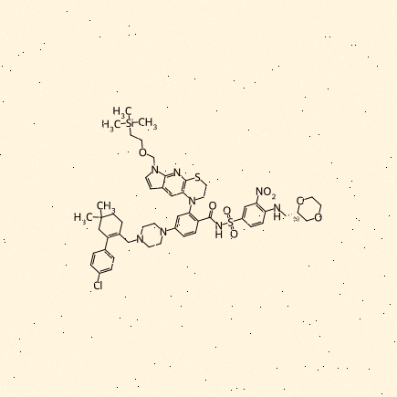 CC1(C)CCC(CN2CCN(c3ccc(C(=O)NS(=O)(=O)c4ccc(NC[C@H]5COCCO5)c([N+](=O)[O-])c4)c(N4CCSc5nc6c(ccn6COCC[Si](C)(C)C)cc54)c3)CC2)=C(c2ccc(Cl)cc2)C1